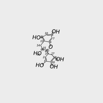 OC1=CC([C@@H]2Oc3cc(O)cc(O)c3C[C@H]2O)CC(O)=C1O